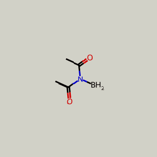 BN(C(C)=O)C(C)=O